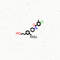 CNCc1cc(CCCO)ccc1[C@H]1CC[C@H](N(C)C(=O)c2ccc(Cl)c(C)c2)CC1